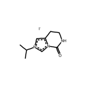 CC(C)[n+]1cc2n(c1)C(=O)NCC2.[I-]